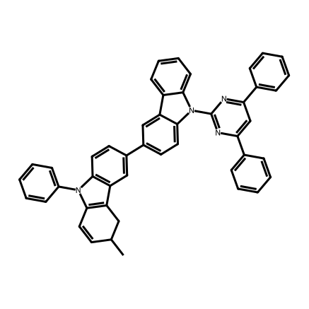 CC1C=Cc2c(c3cc(-c4ccc5c(c4)c4ccccc4n5-c4nc(-c5ccccc5)cc(-c5ccccc5)n4)ccc3n2-c2ccccc2)C1